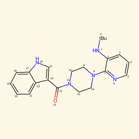 CC(C)(C)Nc1cccnc1N1CCN(C(=O)c2c[nH]c3ccccc23)CC1